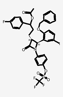 CC(=O)OC(CC[C@H]1C(=O)N(c2ccc(OS(=O)(=O)C(F)(F)F)cc2)[C@@H]1c1cc(I)ccc1OCc1ccccc1)c1ccc(F)cc1